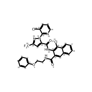 O=C(NCCOc1ccccc1)c1cc2ccccc2c(Cl)c1NC(=O)c1cc(C(F)(F)F)nn1-c1ncccc1Cl